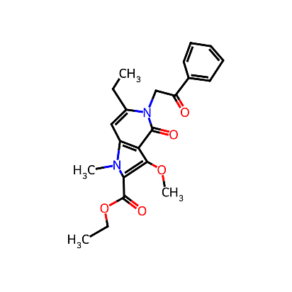 CCOC(=O)c1c(OC)c2c(=O)n(CC(=O)c3ccccc3)c(CC)cc2n1C